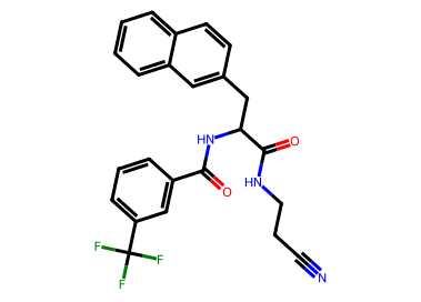 N#CCCNC(=O)C(Cc1ccc2ccccc2c1)NC(=O)c1cccc(C(F)(F)F)c1